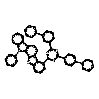 c1ccc(-c2ccc(-c3nc(-c4cccc(-c5ccccc5)c4)nc(-c4cccc5oc6c(ccc7c8ccccc8n(-c8ccccc8)c76)c45)n3)cc2)cc1